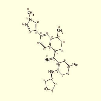 CC(=O)N1CCC(N[C@H]2CCOC2)=C(C(=N)N2CCC(C)c3cc(-c4cnn(C)c4)ccc32)C1